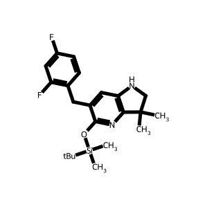 CC1(C)CNc2cc(Cc3ccc(F)cc3F)c(O[Si](C)(C)C(C)(C)C)nc21